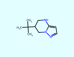 CC(C)(C)C1CNc2ccnn2C1